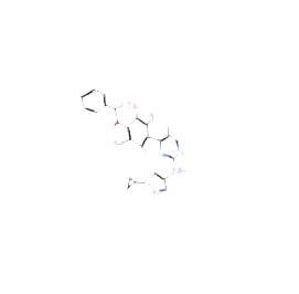 [2H]c1c([2H])c(-c2nc(Nc3cnn(C4CC4)c3)ncc2Cl)c([2H])c([2H])c1C(=O)C(O)c1ccccc1